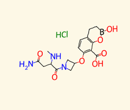 CNC(CC(N)=O)C(=O)N1CC(Oc2ccc3c(c2C(=O)O)OB(O)CC3)C1.Cl